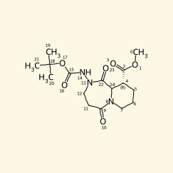 COC(=O)[C@@H]1CCCN2C(=O)CCN(NC(=O)OC(C)(C)C)C(=O)C12